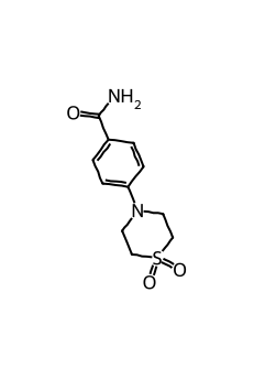 NC(=O)c1ccc(N2CCS(=O)(=O)CC2)cc1